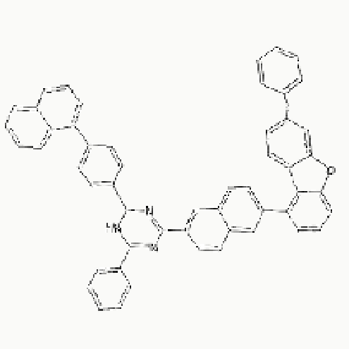 c1ccc(C2=NC(c3ccc4cc(-c5cccc6oc7cc(-c8ccccc8)ccc7c56)ccc4c3)=NC(c3ccc(-c4cccc5ccccc45)cc3)N2)cc1